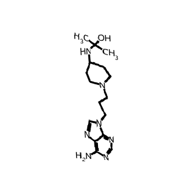 CC(C)(O)NC1CCN(CCCn2cnc3c(N)ncnc32)CC1